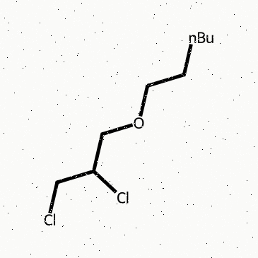 [CH2]CCCCCOCC(Cl)CCl